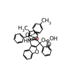 Cc1ccc(S(=O)(=O)Nc2c(C(O[PH](=O)O)(c3ccccc3)c3ccc(C)c(-c4ccccc4)c3)oc3ccccc23)cc1